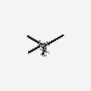 CCCCCCCCCCCCCCCC(=O)N[C@@H](CS)C(=O)N(C[C@H](COC(=O)CCCCCCCCCCC)OC(=O)CCCCCCCCCCC)[C@H](C)C(=O)N[C@H](CCC(=O)O)C(N)=O